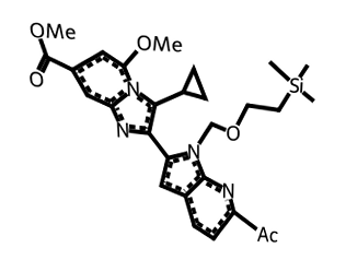 COC(=O)c1cc(OC)n2c(C3CC3)c(-c3cc4ccc(C(C)=O)nc4n3COCC[Si](C)(C)C)nc2c1